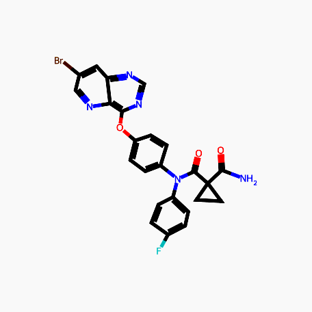 NC(=O)C1(C(=O)N(c2ccc(F)cc2)c2ccc(Oc3ncnc4cc(Br)cnc34)cc2)CC1